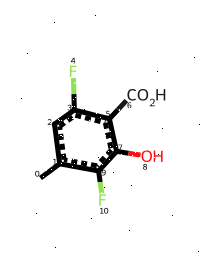 Cc1cc(F)c(C(=O)O)c(O)c1F